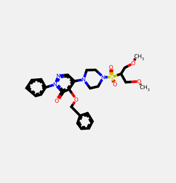 COCC(COC)S(=O)(=O)N1CCN(c2cnn(-c3ccccc3)c(=O)c2OCc2ccccc2)CC1